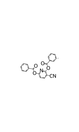 N#Cc1ccc(OC(=O)c2ccccc2)nc1OC(=O)c1c[c]ccc1